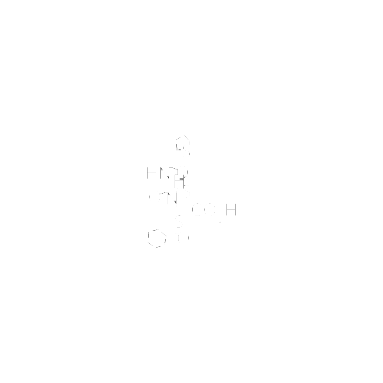 O=C(Cc1cccs1)NC1C(=O)N2CC(CSC(=O)c3ccccc3)(C(=O)O)CS[C@H]12